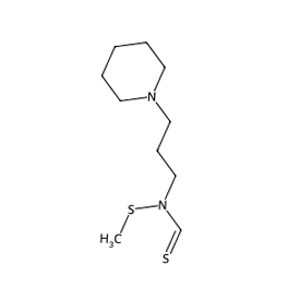 CSN(C=S)CCCN1CCCCC1